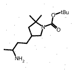 CC(N)CCC1CN(C(=O)OC(C)(C)C)C(C)(C)C1